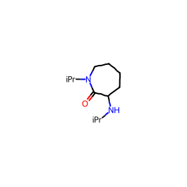 CC(C)NC1CCCCN(C(C)C)C1=O